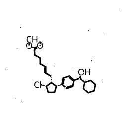 COC(=O)CCCC=CC[C@H]1[C@H](Cl)CC[C@@H]1c1ccc(C(O)C2CCCCC2)cc1